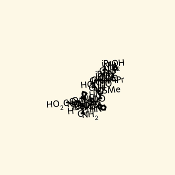 CC[C@H](C)[C@H](NC(=O)[C@H](Cc1c[nH]c2ccccc12)NC(=O)[C@H](CCC(N)=O)NC(=O)[C@H](CC(C)C)NC(=O)[C@@H]1CCCN1C(=O)[C@H](Cc1c[nH]c2ccccc12)NC(=O)[C@H](CCSC)NC(=O)CNC(=O)[C@@H](NC(=O)[C@H](CO)NC(=O)CNC(=O)[C@H](CC(C)C)NC(=O)[C@H](Cc1ccc(O)cc1)NC(=O)[C@@H](NC(=O)[C@@H](N)CC(C)C)[C@@H](C)CC)[C@@H](C)O)C(=O)NCC(=O)O